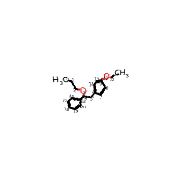 CCCOC([CH]c1ccc(OCC)cc1)c1ccccc1